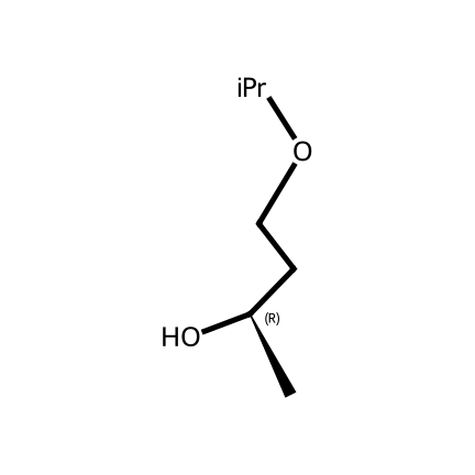 CC(C)OCC[C@@H](C)O